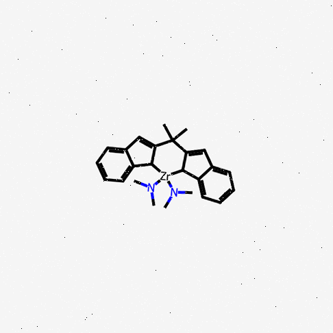 C[N](C)[Zr]1([N](C)C)[CH]2C(=Cc3ccccc32)C(C)(C)C2=Cc3ccccc3[CH]21